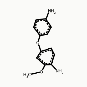 COc1cc(Oc2ccc(N)cc2)ccc1N